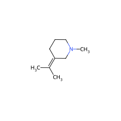 CC(C)=C1CCCN(C)C1